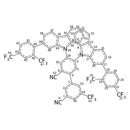 N#Cc1cc(-c2cc(-n3c4ccccc4c4ccc(-c5ccc(C(F)(F)F)cc5C(F)(F)F)cc43)c(-n3c4ccccc4c4ccc(-c5ccc(C(F)(F)F)cc5C(F)(F)F)cc43)cc2C#N)cc(C(F)(F)F)c1